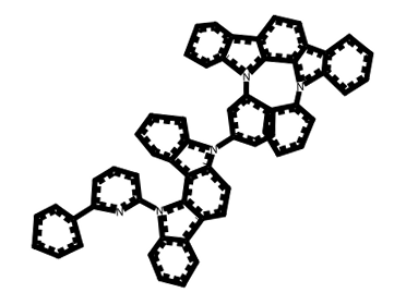 c1ccc(-c2cccc(-n3c4ccccc4c4ccc5c(c6ccccc6n5-c5cccc(-n6c7ccccc7c7ccc8c9ccccc9n(-c9ccccc9)c8c76)c5)c43)n2)cc1